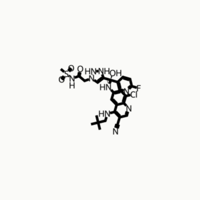 CC(C)(C)CNc1c(C#N)cnc2c(Cl)cc(N[C@@](O)(C3=CN(CC(=O)NS(C)(=O)=O)NN3)c3ccc(F)nc3)cc12